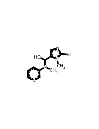 CCc1ncc(C(O)N(C)c2cccnc2)n1C